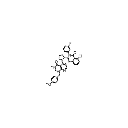 COc1ccc(CN2CN(C)C(=O)c3c2ncnc3N2CCC[C@H]2c2nc3cccc(Cl)c3c(=O)n2-c2cccc(F)c2)cc1